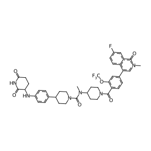 CN(C(=O)N1CCC(c2ccc(NC3CCC(=O)NC3=O)cc2)CC1)C1CCN(C(=O)c2ccc(-c3cn(C)c(=O)c4cc(F)ccc34)cc2OC(F)(F)F)CC1